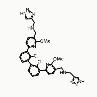 COc1nc(-c2cccc(-c3cccc(-c4ccc(CNCc5c[nH]nn5)c(OC)n4)c3Cl)c2Cl)ccc1CNCc1c[nH]nn1